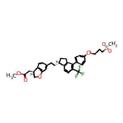 COC(=O)C[C@@H]1COc2cc(CC[C@@H]3CCc4c3ccc(C(F)(F)F)c4-c3ccc(OCCCS(C)(=O)=O)cc3)ccc21